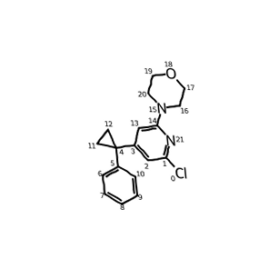 Clc1cc(C2(c3ccccc3)CC2)cc(N2CCOCC2)n1